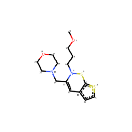 COCCCN1Sc2sccc2C=C1CN1CCOCC1